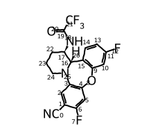 N#Cc1cc2c(cc1F)Oc1cc(F)ccc1[C@H]1[C@H](NC(=O)C(F)(F)F)CCCN21